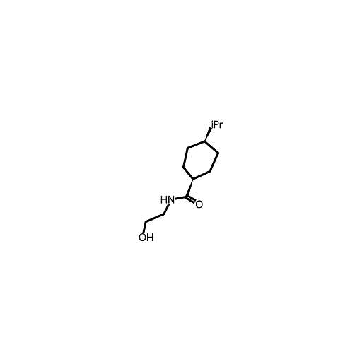 CC(C)[C@H]1CC[C@@H](C(=O)NCCO)CC1